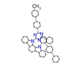 Cc1ccc(-c2ccc(-c3nc(-c4ccccc4)nc(-n4c5ccccc5c5ccc6c7ccccc7n(-c7ccccc7-c7ccc(-c8ccccc8)cc7)c6c54)n3)cc2)cc1